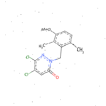 COc1ccc(C)c(Cn2nc(Cl)c(Cl)cc2=O)c1C